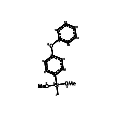 CO[Si](C)(OC)c1ccc(Oc2ccccc2)cc1